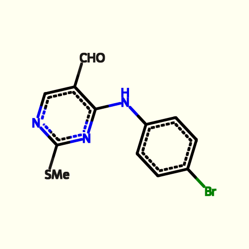 CSc1ncc(C=O)c(Nc2ccc(Br)cc2)n1